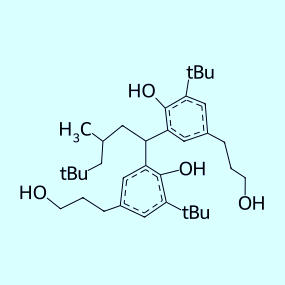 CC(CC(c1cc(CCCO)cc(C(C)(C)C)c1O)c1cc(CCCO)cc(C(C)(C)C)c1O)CC(C)(C)C